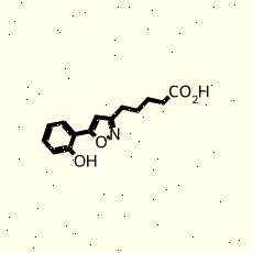 O=C(O)CCCCc1cc(-c2ccccc2O)on1